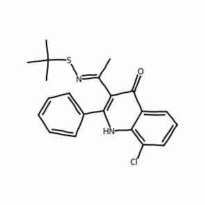 CC(=NSC(C)(C)C)c1c(-c2ccccc2)[nH]c2c(Cl)cccc2c1=O